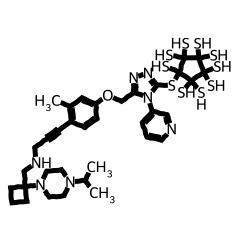 Cc1cc(OCc2nnc(SC3(S)C(S)(S)C(S)(S)C(S)(S)C3(S)S)n2-c2cccnc2)ccc1C#CCNCC1(N2CCN(C(C)C)CC2)CCC1